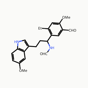 CCc1cc(OC)c(C=O)cc1C(CCc1c[nH]c2ccc(OC)cc12)NC=O